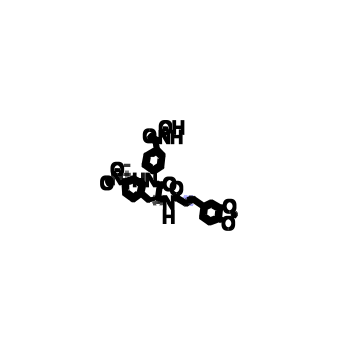 O=C(/C=C/c1ccc2c(c1)OCO2)N[C@@H](Cc1ccc([N+](=O)[O-])cc1)C(=O)Nc1ccc(C(=O)NO)cc1